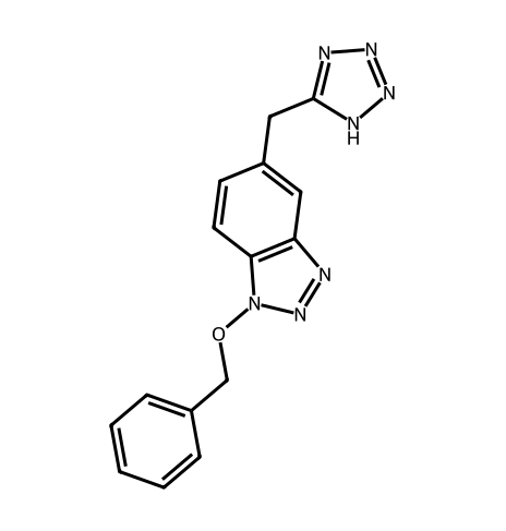 c1ccc(COn2nnc3cc(Cc4nnn[nH]4)ccc32)cc1